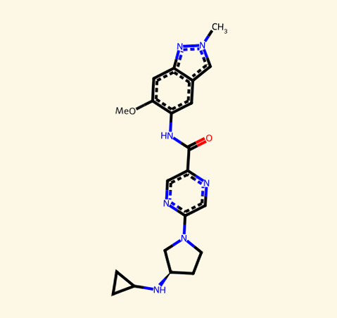 COc1cc2nn(C)cc2cc1NC(=O)c1cnc(N2CC[C@@H](NC3CC3)C2)cn1